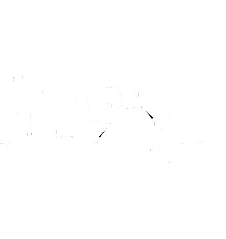 COP(=O)(OC)C1=CC2CC[C@H]3[C@@H]4CC[C@H](C(=O)O)[C@@]4(C)CC[C@@H]3[C@@]2(C)CC1